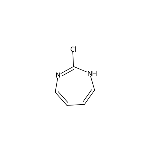 ClC1=NC=CC=CN1